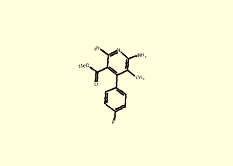 COC(=O)c1c(C(C)C)nc(N)c(C)c1-c1ccc(F)cc1